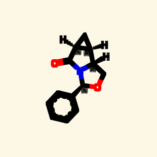 O=C1[C@H]2C[C@H]2[C@@H]2CO[C@@H](c3ccccc3)N12